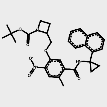 Cc1cc([N+](=O)[O-])c(OCC2CCN2C(=O)OC(C)(C)C)cc1C(=O)NC1(c2cccc3ccccc23)CC1